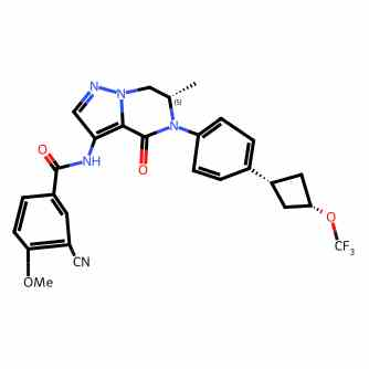 COc1ccc(C(=O)Nc2cnn3c2C(=O)N(c2ccc([C@H]4C[C@@H](OC(F)(F)F)C4)cc2)[C@@H](C)C3)cc1C#N